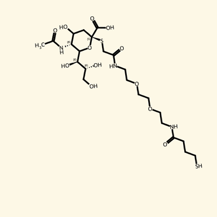 CC(=O)N[C@@H]1C(O)C[C@](SCC(=O)NCCOCCOCCNC(=O)CCCS)(C(=O)O)OC1[C@H](O)[C@H](O)CO